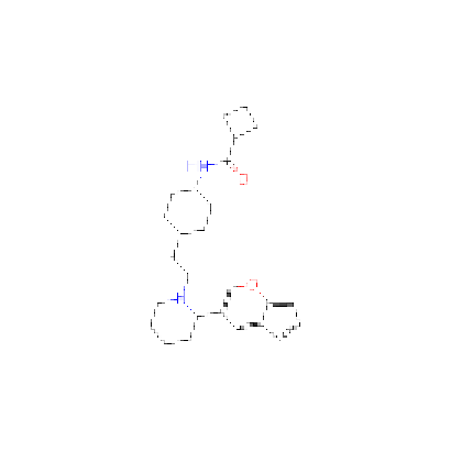 O=C(N[C@H]1CC[C@H](CCN2CCCCC2c2coc3cccc-3c2)CC1)C1CCC1